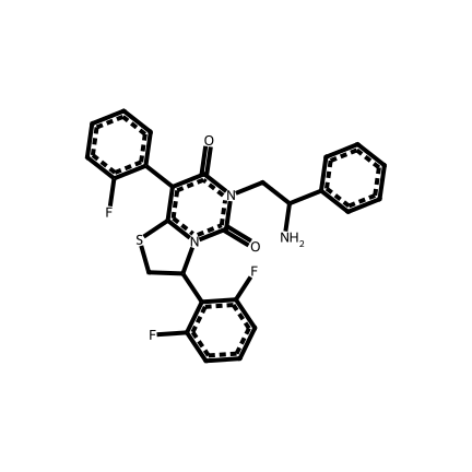 NC(Cn1c(=O)c(-c2ccccc2F)c2n(c1=O)C(c1c(F)cccc1F)CS2)c1ccccc1